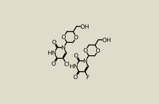 O=c1[nH]c(=O)n(C2COC(CO)CO2)cc1Cl.O=c1[nH]c(=O)n(C2COC(CO)CO2)cc1F